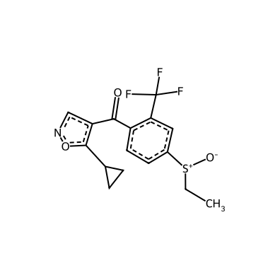 CC[S+]([O-])c1ccc(C(=O)c2cnoc2C2CC2)c(C(F)(F)F)c1